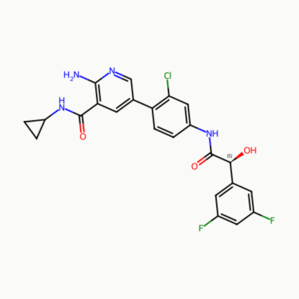 Nc1ncc(-c2ccc(NC(=O)[C@@H](O)c3cc(F)cc(F)c3)cc2Cl)cc1C(=O)NC1CC1